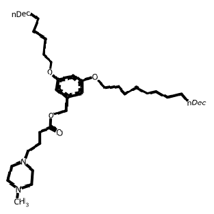 CCCCCCCCCCCCCCCCCCOc1cc(COC(=O)CCCN2CCN(C)CC2)cc(OCCCCCCCCCCCCCCC)c1